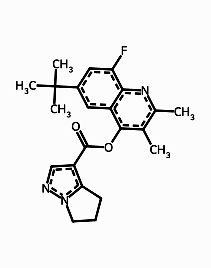 Cc1nc2c(F)cc(C(C)(C)C)cc2c(OC(=O)c2cnn3c2CCC3)c1C